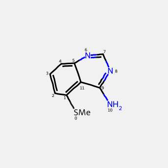 CSc1cccc2ncnc(N)c12